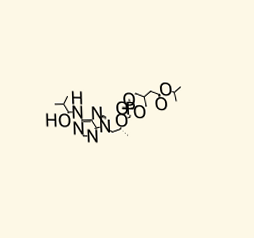 CC(C)OC(=O)CC1COP(=O)(CO[C@H](C)Cn2cnc3c(NC(O)C(C)C)ncnc32)OC1